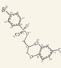 O=S(=O)(OCC1COc2ccc(Cl)cc2O1)c1ccc(Br)cc1